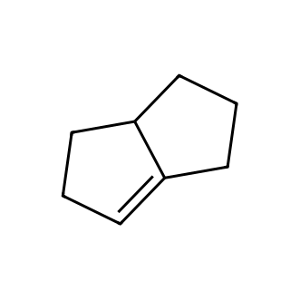 C1=C2CCCC2CC1